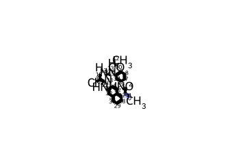 C/C=C/C(=O)Nc1ccc(OC(C)C)c(Nc2ncc(Cl)c(Nc3ccc4ccccc4c3)n2)c1